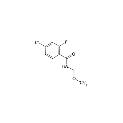 COCNC(=O)c1ccc(Cl)cc1F